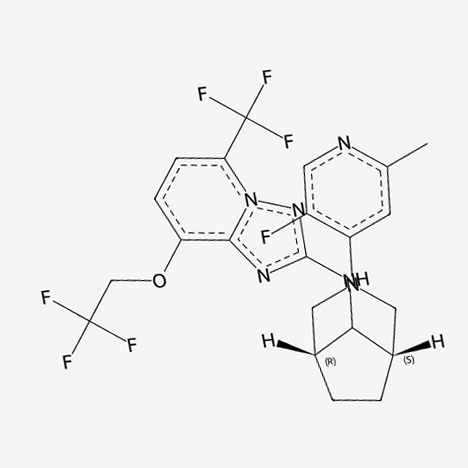 Cc1cc(N2C[C@H]3CC[C@@H](C2)C3Nc2nc3c(OCC(F)(F)F)ccc(C(F)(F)F)n3n2)c(F)cn1